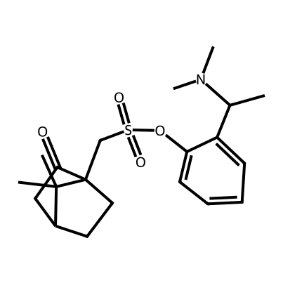 CC(c1ccccc1OS(=O)(=O)CC12CCC(CC1=O)C2(C)C)N(C)C